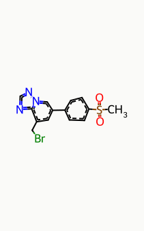 CS(=O)(=O)c1ccc(-c2cc(CBr)c3ncnn3c2)cc1